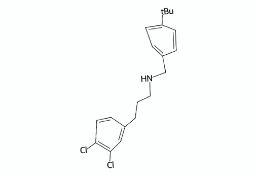 CC(C)(C)c1ccc(CNCCCc2ccc(Cl)c(Cl)c2)cc1